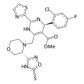 COC(=O)C1=C(CN2CCOC[C@H]2c2noc(=S)[nH]2)NC(c2nccs2)=N[C@H]1c1ccc(F)cc1Cl